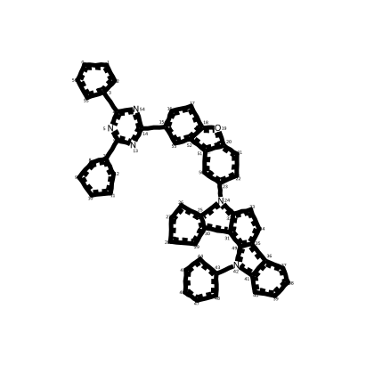 c1ccc(-c2nc(-c3ccccc3)nc(-c3ccc4oc5ccc(-n6c7ccccc7c7c6ccc6c8ccccc8n(-c8ccccc8)c67)cc5c4c3)n2)cc1